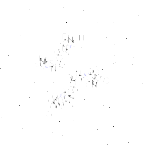 CCN1C(=O)/C(=C\c2nc3c(s2)-c2cc4c(cc2OC32CCCC(C3CCCC5(C3)Oc3cc6c(cc3-c3sc(/C=C7/C(=O)N(C(=O)OCc8ccccc8)C(=O)C(C#N)=C7C)nc35)OC3(CCCCC3)c3nc(/C=C5/C(=O)N(C(=O)OCc7ccccc7)C(=O)C(C#N)=C5C)sc3-6)C2)-c2sc(/C=C3/SC(S)N(CC)C3=O)nc2C2(CCCCC2)O4)SC1=S